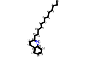 CCCCCCCCCCCCCc1ccc2ccccc2n1